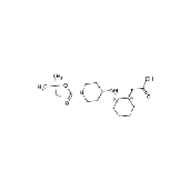 CC(C)(C)OC(=O)N1CCC(N[C@H]2CCCC[C@@H]2CC(=O)O)CC1